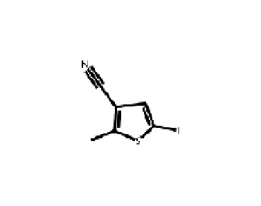 Cc1sc(I)cc1C#N